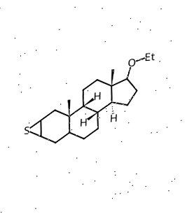 CCOC1CC[C@H]2[C@@H]3CCC4CC5SC5C[C@]4(C)[C@@H]3CC[C@]12C